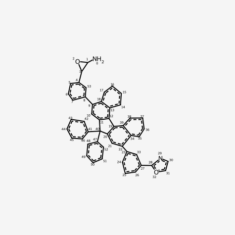 NC1OC1c1cccc(-c2cc3c(c4ccccc24)-c2c(cc(-c4cccc(-c5ncco5)c4)c4ccccc24)C3(c2ccccc2)c2ccccc2)c1